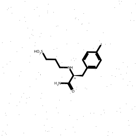 NC(=O)[C@H](Cc1ccc(I)cc1)NCCCS(=O)(=O)O